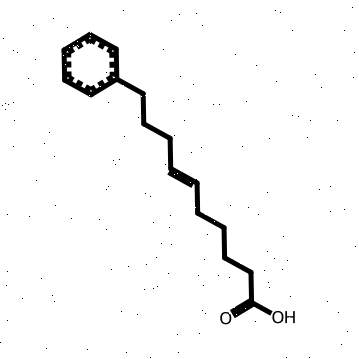 O=C(O)CCCC/C=C/CCCc1ccccc1